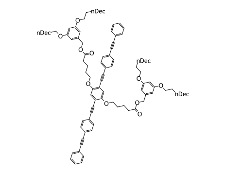 CCCCCCCCCCCCOc1cc(COC(=O)CCCCOc2cc(C#Cc3ccc(C#Cc4ccccc4)cc3)c(OCCCCC(=O)OCc3cc(OCCCCCCCCCCCC)cc(OCCCCCCCCCCCC)c3)cc2C#Cc2ccc(C#Cc3ccccc3)cc2)cc(OCCCCCCCCCCC)c1